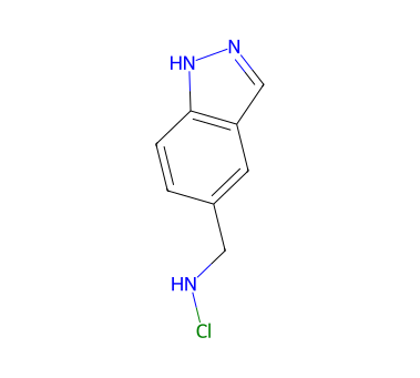 ClNCc1ccc2[nH]ncc2c1